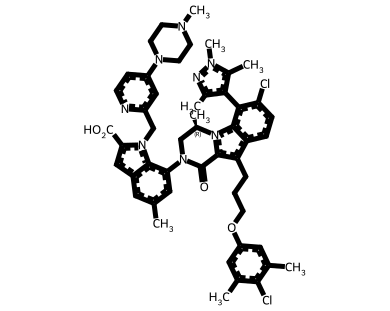 Cc1cc(N2C[C@@H](C)n3c(c(CCCOc4cc(C)c(Cl)c(C)c4)c4ccc(Cl)c(-c5c(C)nn(C)c5C)c43)C2=O)c2c(c1)cc(C(=O)O)n2Cc1cc(N2CCN(C)CC2)ccn1